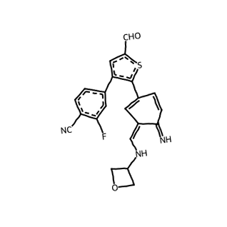 N#Cc1ccc(-c2cc(C=O)sc2C2=C/C(=C/NC3COC3)C(=N)C=C2)cc1F